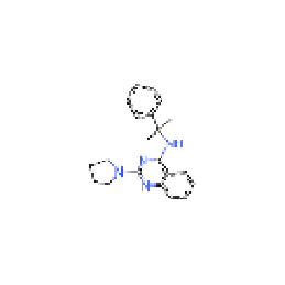 CC(C)(Nc1nc(N2CCCC2)nc2ccccc12)c1ccccc1